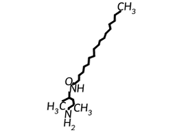 CCCCCCCCCCCCCCCCCCC(=O)NCC(CC)CC(C)CN